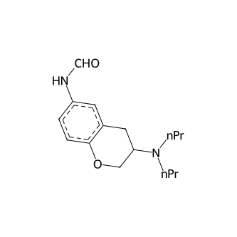 CCCN(CCC)C1COc2ccc(NC=O)cc2C1